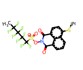 CC(C)Sc1ccc2c3c(cccc13)C(=O)N(OS(=O)(=O)C(F)(F)C(F)(F)C(F)(F)C(C)(F)F)C2=O